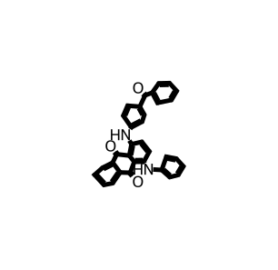 O=C(c1ccccc1)c1ccc(Nc2ccc(Nc3ccccc3)c3c2C(=O)c2ccccc2C3=O)cc1